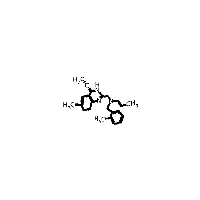 C=C=C1NC(CN(CCC)Cc2ccccc2C)=NC2=C1C=C(C)CC2